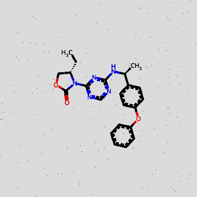 CC[C@H]1COC(=O)N1c1ncnc(N[C@@H](C)c2ccc(Oc3ccccc3)cc2)n1